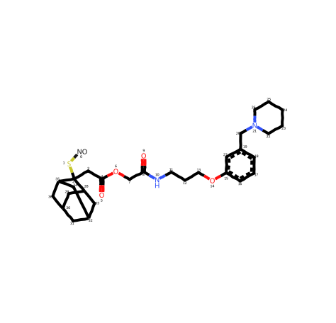 O=NSC1(CC(=O)OCC(=O)NCCCOc2cccc(CN3CCCCC3)c2)C2CC3CC(C2)CC1C3